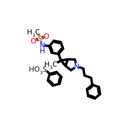 CC1(c2cccc(NS(C)(=O)=O)c2)C2CN(CCCc3ccccc3)CC21.O=S(=O)(O)c1ccccc1